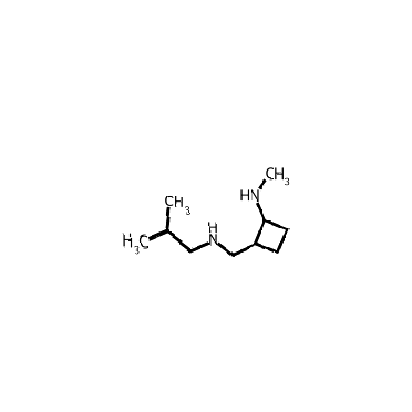 CNC1CCC1CNCC(C)C